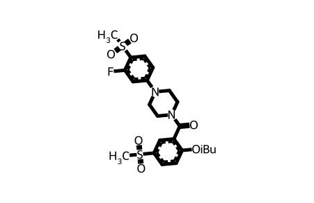 CC(C)COc1ccc(S(C)(=O)=O)cc1C(=O)N1CCN(c2ccc(S(C)(=O)=O)c(F)c2)CC1